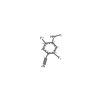 CNc1cc(F)c(C#N)cc1F